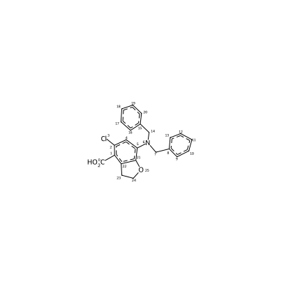 O=C(O)c1c(Cl)cc(N(Cc2ccccc2)Cc2ccccc2)c2c1CCO2